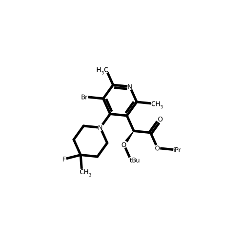 Cc1nc(C)c([C@H](OC(C)(C)C)C(=O)OC(C)C)c(N2CCC(C)(F)CC2)c1Br